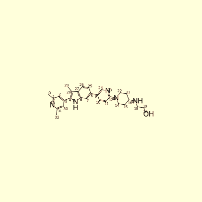 Cc1cc(-c2[nH]c3cc(-c4ccc(N5CCC(NCCO)CC5)nc4)ccc3c2C)cc(C)n1